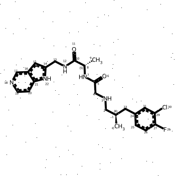 C[C@@H](CNCC(=O)N[C@@H](C)C(=O)NCc1cc2cnccc2[nH]1)Cc1ccc(F)c(Cl)c1